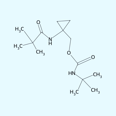 CC(C)(C)NC(=O)OCC1(NC(=O)C(C)(C)C)CC1